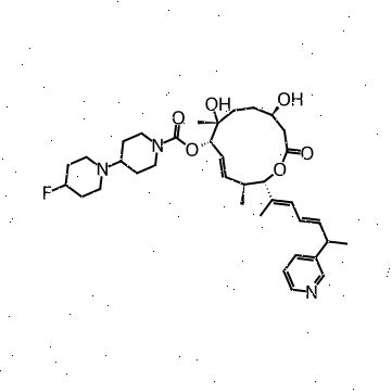 C/C(=C\C=C\C(C)c1cccnc1)[C@H]1OC(=O)C[C@H](O)CC[C@@](C)(O)[C@@H](OC(=O)N2CCC(N3CCC(F)CC3)CC2)/C=C/[C@@H]1C